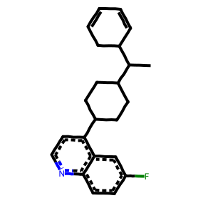 CC(C1C=CC=CC1)C1CCC(c2ccnc3ccc(F)cc23)CC1